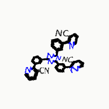 N#Cc1cccnc1-c1cccc(-c2nc(-c3cccc(-c4ncccc4C#N)c3)nc(-c3cccc(-c4ncccc4C#N)c3)n2)c1